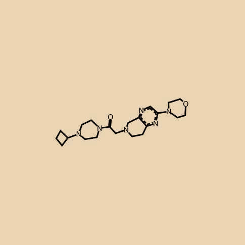 O=C(CN1CCc2nc(N3CCOCC3)cnc2C1)N1CCN(C2CCC2)CC1